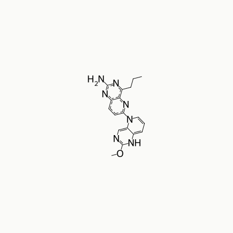 CCCc1nc(N)nc2ccc(N3C=CC=C4NC(OC)=NC=C43)nc12